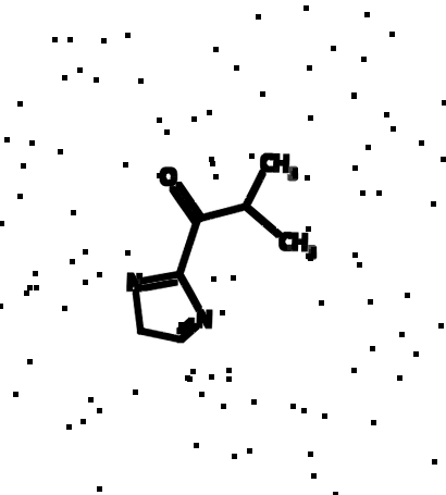 CC(C)C(=O)C1=NCC=N1